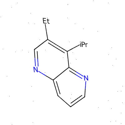 CCc1cnc2cccnc2c1C(C)C